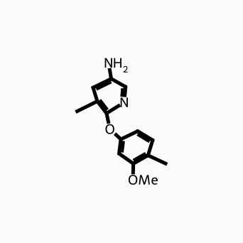 COc1cc(Oc2ncc(N)cc2C)ccc1C